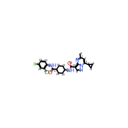 Cc1cc(C2CC2)n2ncc(C(=O)NC3CCC(C(=O)Nc4ccc(F)cc4Cl)CC3)c2n1